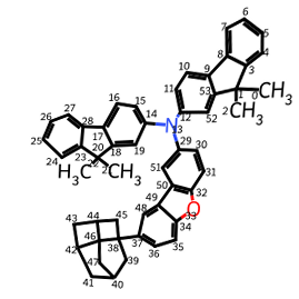 CC1(C)c2ccccc2-c2ccc(N(c3ccc4c(c3)C(C)(C)c3ccccc3-4)c3ccc4oc5ccc(C67CC8CC9CC(C6)C97C8)cc5c4c3)cc21